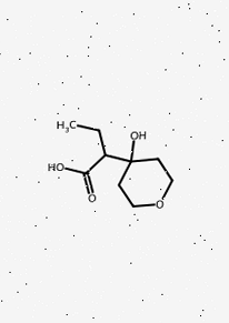 CCC(C(=O)O)C1(O)CCOCC1